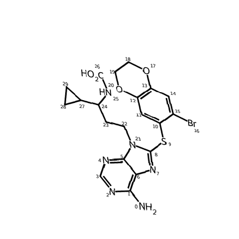 Nc1ncnc2c1nc(Sc1cc3c(cc1Br)OCCO3)n2CCC(NC(=O)O)C1CC1